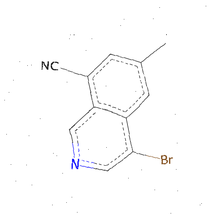 Cc1cc(C#N)c2cncc(Br)c2c1